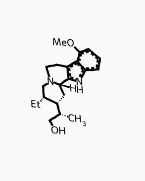 CC[C@@H]1CN2CCc3c([nH]c4cccc(OC)c34)[C@@H]2C[C@@H]1[C@H](C)CO